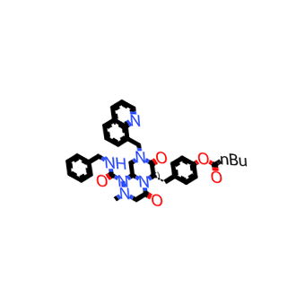 CCCCC(=O)Oc1ccc(C[C@H]2C(=O)N(Cc3cccc4cccnc34)CC3N2C(=O)CN(C)N3C(=O)NCc2ccccc2)cc1